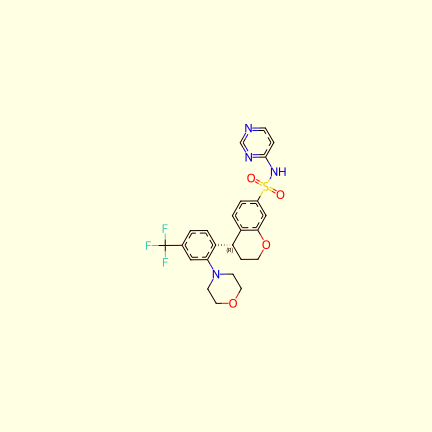 O=S(=O)(Nc1ccncn1)c1ccc2c(c1)OCC[C@@H]2c1ccc(C(F)(F)F)cc1N1CCOCC1